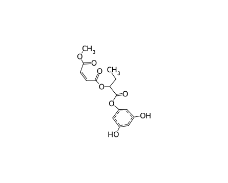 CCC(OC(=O)/C=C\C(=O)OC)C(=O)Oc1cc(O)cc(O)c1